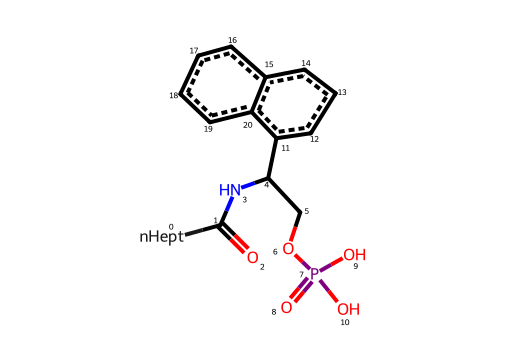 CCCCCCCC(=O)NC(COP(=O)(O)O)c1cccc2ccccc12